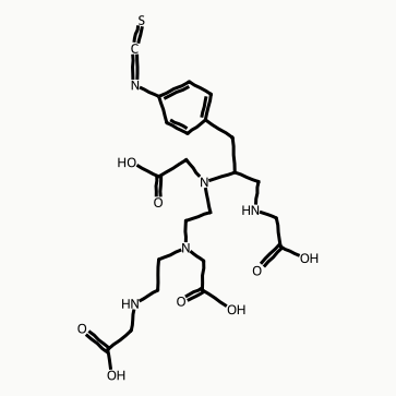 O=C(O)CNCCN(CCN(CC(=O)O)C(CNCC(=O)O)Cc1ccc(N=C=S)cc1)CC(=O)O